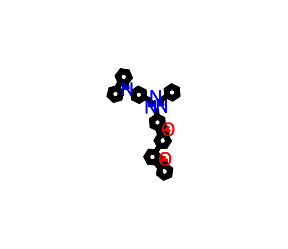 c1ccc(-c2nc(-c3ccc(-n4c5ccccc5c5ccccc54)cc3)nc(-c3ccc4c(c3)oc3ccc(-c5cccc6c5oc5ccccc56)cc34)n2)cc1